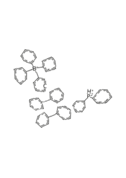 c1ccc(-c2ccccc2)cc1.c1ccc(-c2ccccc2)cc1.c1ccc([B-](c2ccccc2)(c2ccccc2)c2ccccc2)cc1.c1ccc([PH2+]c2ccccc2)cc1